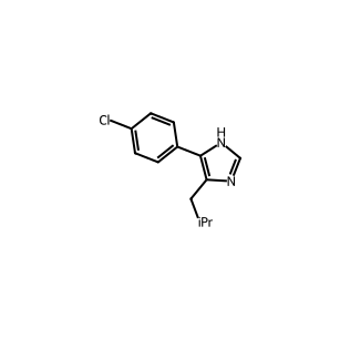 CC(C)Cc1nc[nH]c1-c1ccc(Cl)cc1